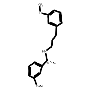 COc1cccc([C@@H](C)NCCCc2cccc(OC(F)(F)F)c2)c1